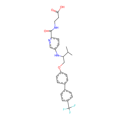 CC(C)C(COc1ccc(-c2ccc(C(F)(F)F)cc2)cc1)Nc1ccc(C(=O)NCCC(=O)O)nc1